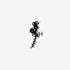 CCCCCCCCCC(C)NC(=O)/C(=C/c1ccc([N+](=O)[O-])cc1)c1ccccc1